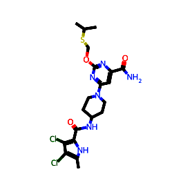 Cc1[nH]c(C(=O)NC2CCN(c3cc(C(N)=O)nc(OCSC(C)C)n3)CC2)c(Cl)c1Cl